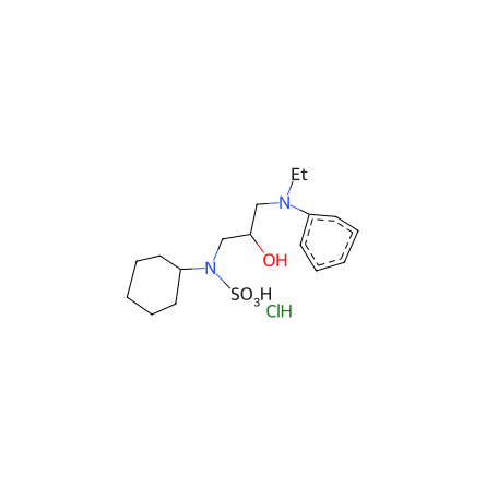 CCN(CC(O)CN(C1CCCCC1)S(=O)(=O)O)c1ccccc1.Cl